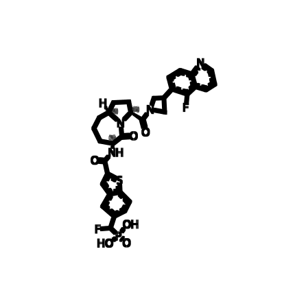 O=C(N[C@H]1CCC[C@H]2CC[C@@H](C(=O)N3CC(c4ccc5ncccc5c4F)C3)N2C1=O)c1cc2cc(C(F)P(=O)(O)O)ccc2s1